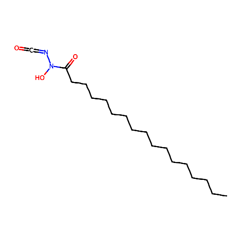 CCCCCCCCCCCCCCCCC(=O)N(O)N=C=O